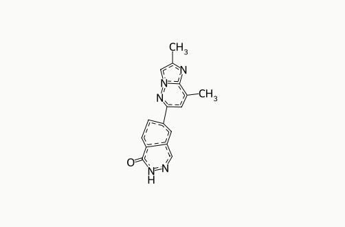 Cc1cn2nc(-c3ccc4c(=O)[nH]ncc4c3)cc(C)c2n1